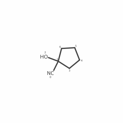 N#CC1(O)CCCC1